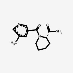 Cc1cncc(C(=O)N2CCCC[C@H]2C(N)=O)c1